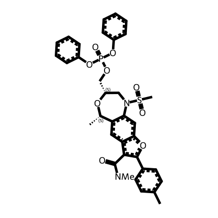 CNC(=O)c1c(-c2ccc(C)cc2)oc2cc3c(cc12)[C@H](C)O[C@H](COP(=O)(Oc1ccccc1)Oc1ccccc1)CN3S(C)(=O)=O